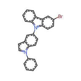 Brc1ccc2c(c1)c1ccccc1n2-c1ccc2c(ccn2-c2ccccc2)c1